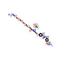 NCCOCCOCCOCCOCCOCCC(=O)NCCCCOc1ccc(NC(=O)Nc2ccc(S(N)(=O)=O)cc2)cc1.O=C(O)C(F)(F)F